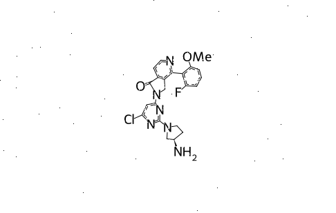 COc1cccc(F)c1-c1nccc2c1CN(c1cc(Cl)nc(N3CC[C@@H](N)C3)n1)C2=O